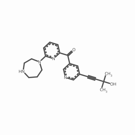 CC(C)(O)C#Cc1cncc(C(=O)c2cccc(N3CCCNCC3)n2)c1